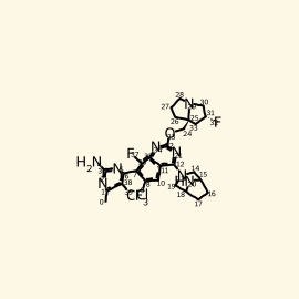 Cc1nc(N)nc(-c2c(Cl)cc3c(N4CC5CCC(C4)N5)nc(OC[C@@]45CCCN4C[C@H](F)C5)nc3c2F)c1C(F)(F)F